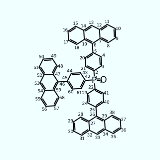 O=P(c1ccc(-c2c3ccccc3cc3ccccc23)cc1)(c1ccc(-c2c3ccccc3cc3ccccc23)cc1)c1ccc(-c2c3ccccc3cc3ccccc23)cc1